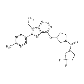 CCn1c(-c2cnc(C)nc2)nc2c(OC3CCN(C(=O)N4CCC(F)(F)C4)C3)ncnc21